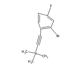 C[Si](C)(C)C#Cc1ccc(F)cc1Br